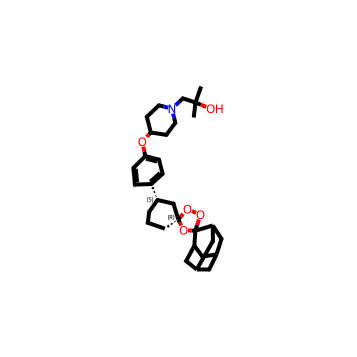 CC(C)(O)CN1CCC(Oc2ccc([C@H]3CCC[C@]4(C3)OOC3(O4)C4CC5CC(C4)CC3C5)cc2)CC1